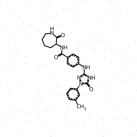 Cc1cccc(-n2nc(Nc3ccc(C(=O)NC4CCCCNC4=O)cc3)[nH]c2=O)c1